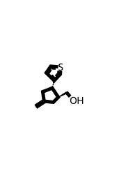 C=C1C[C@H](CO)[C@@H](c2ccsc2)C1